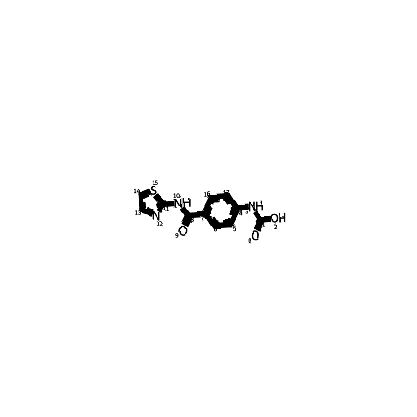 O=C(O)Nc1ccc(C(=O)Nc2nccs2)cc1